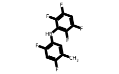 Cc1cc(Bc2c(F)c(F)cc(F)c2F)c(F)cc1F